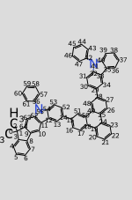 CC1(C)c2ccccc2-c2cc3c4cc(-c5ccc6c7ccccc7c7ccc(-c8ccc9c(c8)c8ccccc8n9-c8ccccc8)cc7c6c5)ccc4n(-c4ccccc4)c3cc21